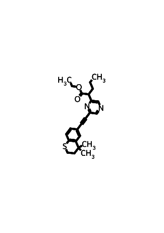 CCCC(C(=O)OCC)c1cncc(C#Cc2ccc3c(c2)C(C)(C)CCS3)n1